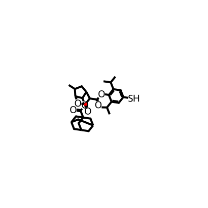 CC(C)c1cc(S)cc(C(C)C)c1OC(=O)C1C(=O)OC2C(C)CC1C2OC(=O)C12CC3CC(CC(C3)C1)C2